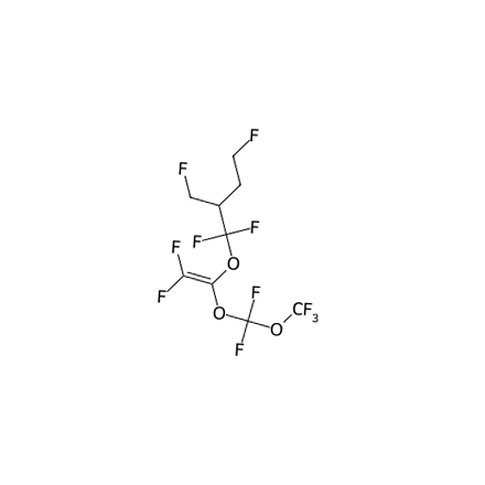 FCCC(CF)C(F)(F)OC(OC(F)(F)OC(F)(F)F)=C(F)F